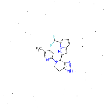 FC(F)c1cccc2cc([C@H]3c4nc[nH]c4CCN3c3ccc(C(F)(F)F)cn3)nn12